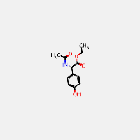 CCOC(=O)[C@@H](NC(C)=O)c1ccc(O)cc1